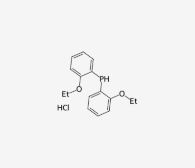 CCOc1ccccc1Pc1ccccc1OCC.Cl